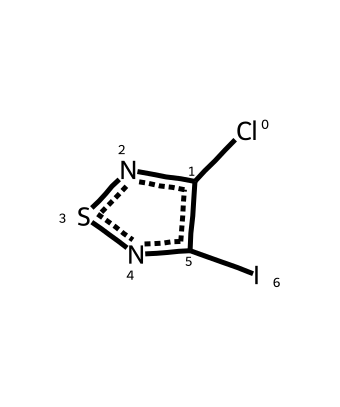 Clc1nsnc1I